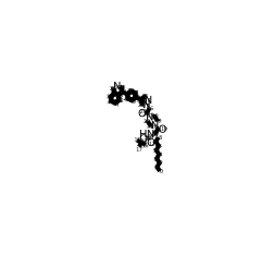 CCCCCCCCC[C@H](NC(=O)OC(C)(C)C)C(=O)N1CCN(C(=O)Cn2cc(-c3ccc(-c4cncc5ccccc45)cc3)cn2)CC1